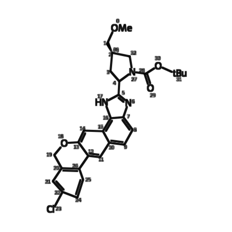 COC[C@@H]1CC(c2nc3ccc4cc5c(cc4c3[nH]2)OCc2cc(Cl)ccc2-5)N(C(=O)OC(C)(C)C)C1